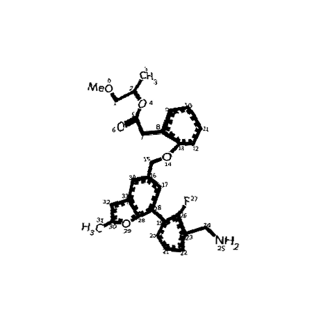 COCC(C)OC(=O)Cc1ccccc1OCc1cc(-c2cccc(CN)c2F)c2oc(C)cc2c1